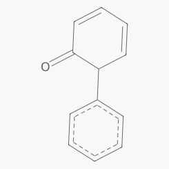 O=C1C=CC=CC1c1ccccc1